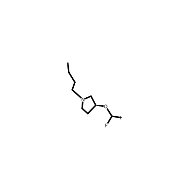 CCCCN1CC[C@H](OC(F)F)C1